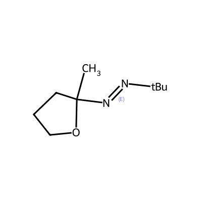 CC(C)(C)/N=N/C1(C)CCCO1